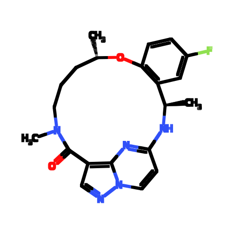 C[C@H]1CCCN(C)C(=O)c2cnn3ccc(nc23)N[C@H](C)c2cc(F)ccc2O1